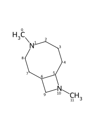 CN1CCCC2C(CC1)CN2C